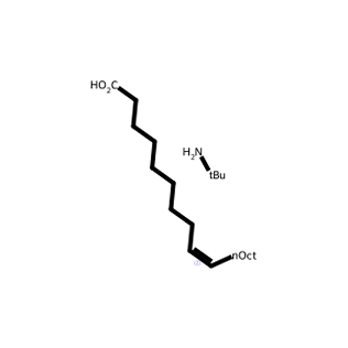 CC(C)(C)N.CCCCCCCC/C=C\CCCCCCCC(=O)O